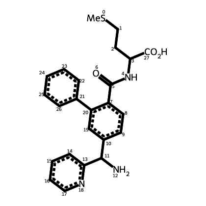 CSCCC(NC(=O)c1ccc(C(N)c2ccccn2)cc1-c1ccccc1)C(=O)O